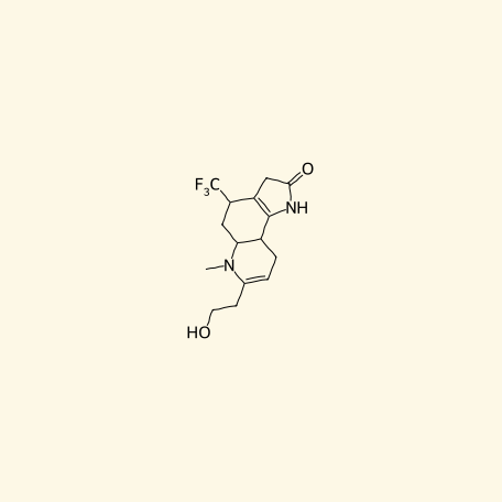 CN1C(CCO)=CCC2C3=C(CC(=O)N3)C(C(F)(F)F)CC21